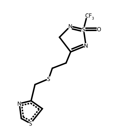 O=S1(C(F)(F)F)=NCC(CCSCc2cscn2)=N1